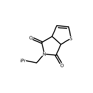 CC(C)CN1C(=O)C2C=CSC2C1=O